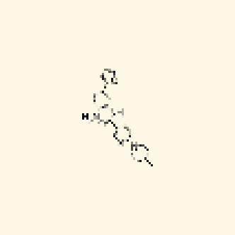 CN1CCN(c2ccc(C(=O)Nc3cc(-c4ccco4)ccc3N)cn2)CC1